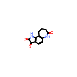 O=C1CCCc2c(ccc3c2NC(=O)C3=O)N1